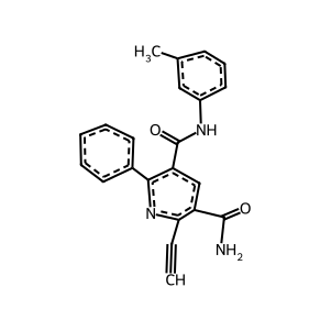 C#Cc1nc(-c2ccccc2)c(C(=O)Nc2cccc(C)c2)cc1C(N)=O